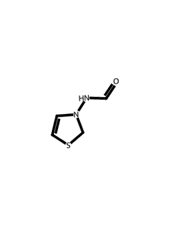 O=CNN1C=CSC1